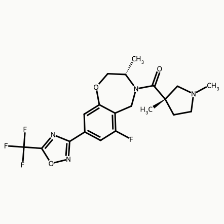 C[C@H]1COc2cc(-c3noc(C(F)(F)F)n3)cc(F)c2CN1C(=O)[C@@]1(C)CCN(C)C1